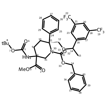 COC(=O)C1(NC(=O)OC(C)(C)C)CC[C@@](COC(C)c2cc(C(F)(F)F)cc(C(F)(F)F)c2)(c2ccccc2)N(C(=O)OCc2ccccc2)C1